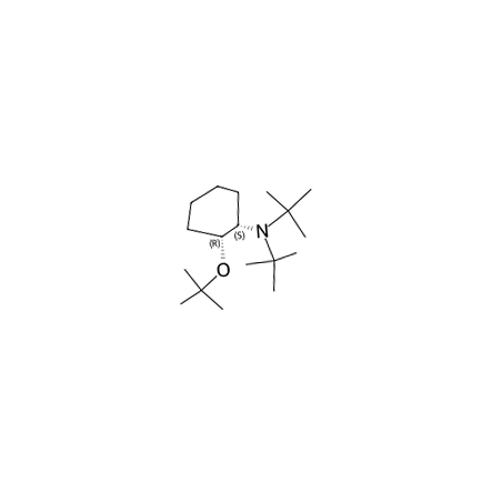 CC(C)(C)O[C@@H]1CCCC[C@@H]1N(C(C)(C)C)C(C)(C)C